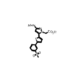 CCOC(=O)Cn1nc(NC)cc1-c1ccc(-c2cccc(S(C)(=O)=O)c2)s1